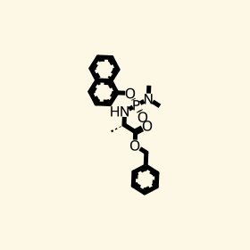 C[C@H](NP(=O)(Oc1cccc2ccccc12)N(C)C)C(=O)OCc1ccccc1